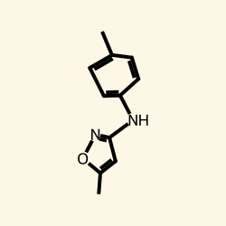 Cc1ccc(Nc2cc(C)on2)cc1